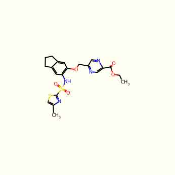 CCOC(=O)c1cnc(COc2cc3c(cc2NS(=O)(=O)c2nc(C)cs2)CCC3)cn1